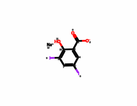 O=C([O-])c1cc(I)cc(I)c1O.[Na+]